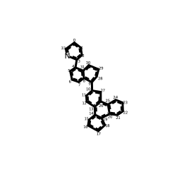 c1ccc(-c2cccc3c(-c4ccc5c6ccccc6c6ccccc6c5c4)cccc23)nc1